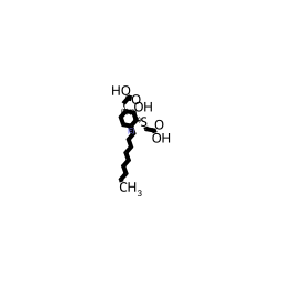 CCCCCCCC/C=C1\CC[C@H](CC(=O)O)[C@@H](O)[C@@H]1SCC(=O)O